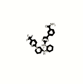 C[C@]1(N[C@@H]2CCCC[C@H]2Nc2ncc(-c3cccc(C(N)=O)c3)o2)CCCN(c2ccc(C(F)(F)F)cn2)C1